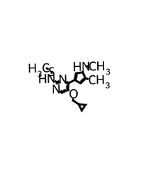 CNC1C=C(c2nc(NSC)ncc2OCC2CC2)C=C1C